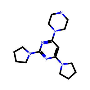 c1c(N2CCCC2)nc(N2CCCC2)nc1N1CC[N]CC1